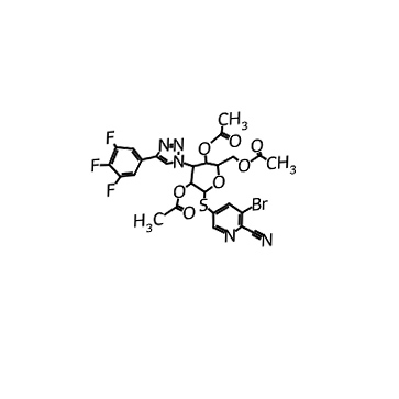 CC(=O)OCC1OC(Sc2cnc(C#N)c(Br)c2)C(OC(C)=O)C(n2cc(-c3cc(F)c(F)c(F)c3)nn2)C1OC(C)=O